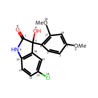 COc1ccc(C2(O)C(=O)Nc3ccc(Cl)cc32)c(OC)c1